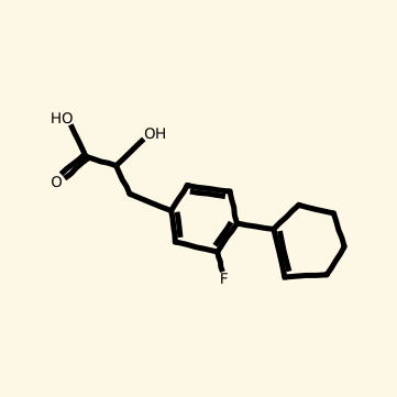 O=C(O)C(O)Cc1ccc(C2=CCCCC2)c(F)c1